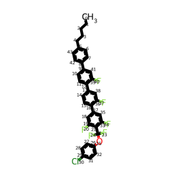 CCCCCc1ccc(-c2ccc(-c3ccc(-c4cc(F)c(C(F)(F)Oc5ccc(Cl)cc5)c(F)c4)c(F)c3)c(F)c2)cc1